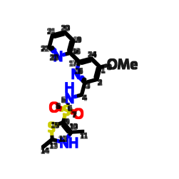 COc1cc(CNS(=O)(=O)C2=C(C)NC(C)S2)nc(-c2ccccn2)c1